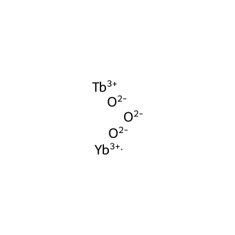 [O-2].[O-2].[O-2].[Tb+3].[Yb+3]